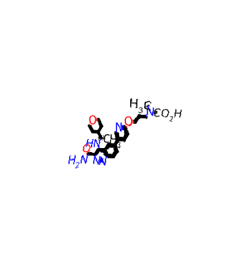 C[C@H](Nc1c(C(N)=O)nnc2ccc(-c3ccc(OCCCN(C)C(=O)O)nc3)cc12)C1CCOCC1